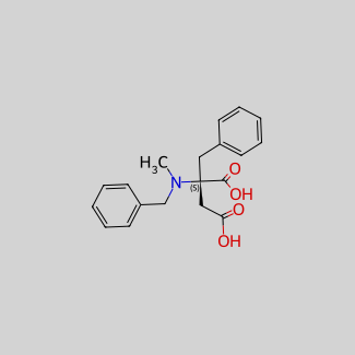 CN(Cc1ccccc1)[C@](CC(=O)O)(Cc1ccccc1)C(=O)O